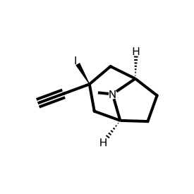 C#C[C@]1(I)C[C@H]2CC[C@@H](C1)N2C